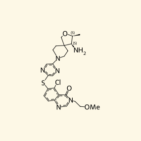 COCCn1cnc2ccc(Sc3cnc(N4CCC5(CC4)CO[C@@H](C)[C@H]5N)cn3)c(Cl)c2c1=O